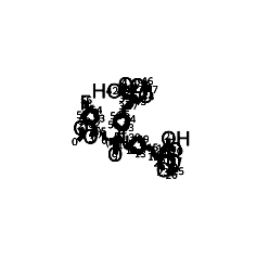 CC(=O)O[C@@H](CC[C@H]1C(=O)N(c2ccc(CCC3(CC(=O)O)COC(C)(C)OC3)cc2)[C@@H]1c1ccc(CCC2(CC(=O)O)COC(C)(C)OC2)cc1)c1ccc(F)cc1